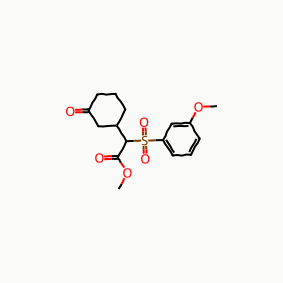 COC(=O)C(C1CCCC(=O)C1)S(=O)(=O)c1cccc(OC)c1